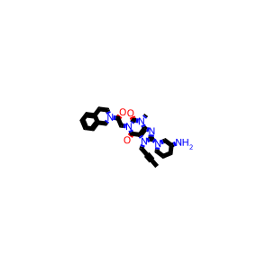 CC#CCn1c(N2CCCC(N)C2)nc2c1c(=O)n(CC(=O)N1CCc3ccccc3C1)c(=O)n2C